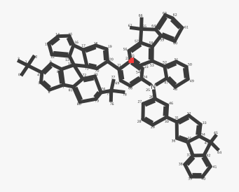 CC(C)(C)c1ccc2c(c1)C1(c3ccccc3-c3ccc(-c4ccc(N(c5cccc(-c6ccc7c(c6)-c6ccccc6C7(C)C)c5)c5ccccc5-c5cccc6c5-c5ccccc5C6(C)C)cc4)cc31)c1cc(C(C)(C)C)ccc1-2